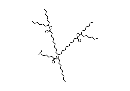 CCCCCCCCCN(C(=O)CCCCN(C)C)C(CCCCCCCCC(=O)OC(CCCCCC)CCCCCC)CCCCCCCCC(=O)OC(CCCCCC)CCCCCC